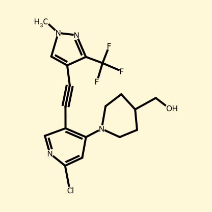 Cn1cc(C#Cc2cnc(Cl)cc2N2CCC(CO)CC2)c(C(F)(F)F)n1